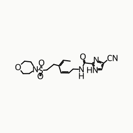 C/C=C(\C=C/CNC(=O)c1nc(C#N)c[nH]1)CCS(=O)(=O)N1CCOCC1